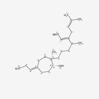 CON=C(CC=C(C)C)C(C)CCC[C@]1(C)OCC(=CCOC(C)=O)CC[C@H]1OC(C)=O